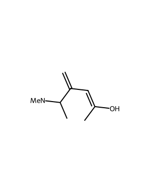 C=C(/C=C(\C)O)C(C)NC